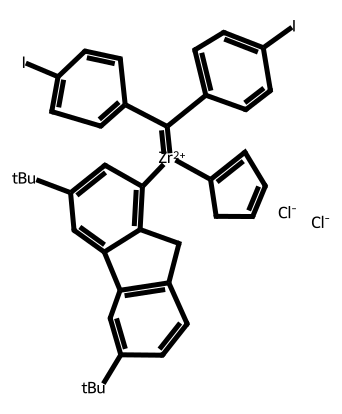 CC(C)(C)c1ccc2c(c1)-c1cc(C(C)(C)C)c[c]([Zr+2]([C]3=CC=CC3)=[C](c3ccc(I)cc3)c3ccc(I)cc3)c1C2.[Cl-].[Cl-]